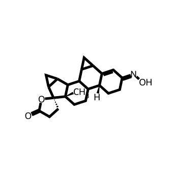 C[C@]12CCC3C(C4CC4C4=C/C(=N/O)CC[C@@H]43)C1C1CC1[C@@]21CCC(=O)O1